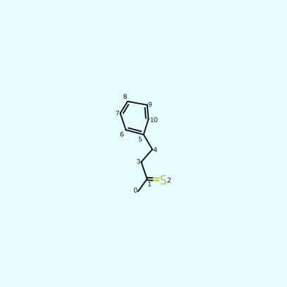 CC(=S)CCc1ccccc1